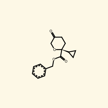 O=C1CC[C@@](C(=O)OCc2ccccc2)(C2CC2)OC1